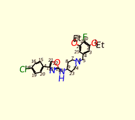 CCOc1cc(CN2CCC(Nc3nc(-c4ccc(Cl)cc4)co3)CC2)cc(OCC)c1F